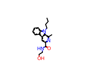 CCCCn1c2ccccc2c2cc(C(=O)NCCO)nc(C)c21